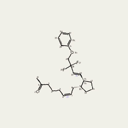 CC(=O)CCC/C=C\C[C@H]1CCC[C@@H]1/C=C/C(F)(F)COc1ccccc1